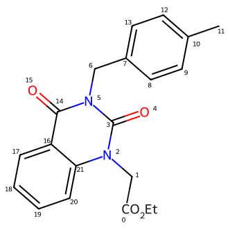 CCOC(=O)Cn1c(=O)n(Cc2ccc(C)cc2)c(=O)c2ccccc21